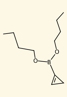 CCCCOB(OCCCC)C1=CC1